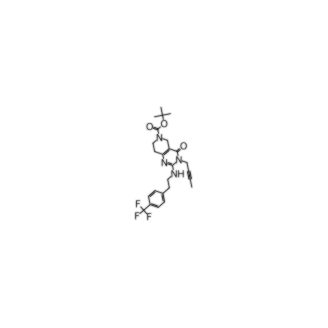 CC#CCn1c(NCCc2ccc(C(F)(F)F)cc2)nc2c(c1=O)CN(C(=O)OC(C)(C)C)CC2